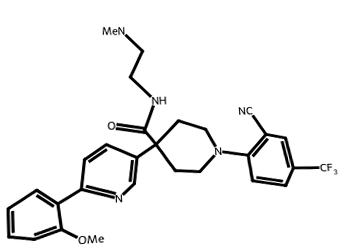 CNCCNC(=O)C1(c2ccc(-c3ccccc3OC)nc2)CCN(c2ccc(C(F)(F)F)cc2C#N)CC1